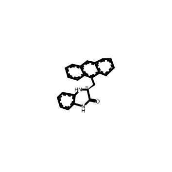 O=C1Nc2ccccc2N[C@H]1Cc1c2ccccc2cc2ccccc12